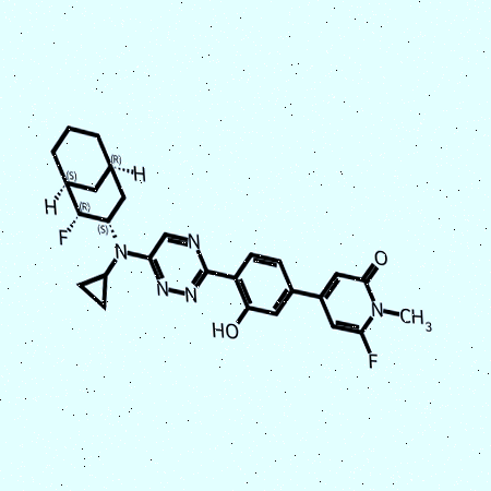 Cn1c(F)cc(-c2ccc(-c3ncc(N(C4CC4)[C@H]4C[C@@H]5CCC[C@@H](C5)[C@H]4F)nn3)c(O)c2)cc1=O